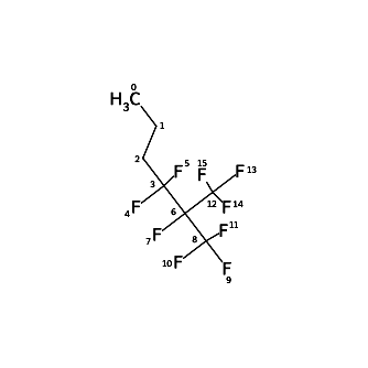 CCCC(F)(F)C(F)(C(F)(F)F)C(F)(F)F